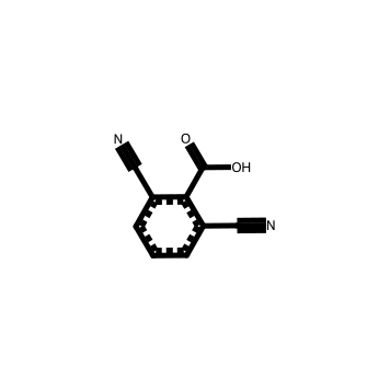 N#Cc1cccc(C#N)c1C(=O)O